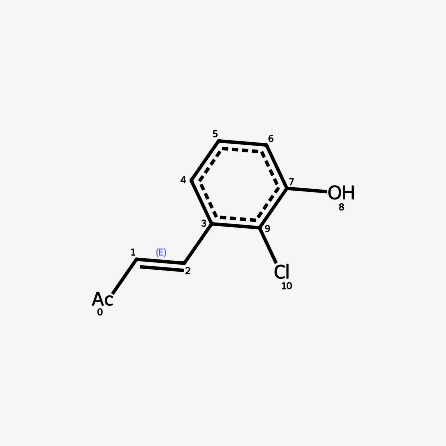 CC(=O)/C=C/c1cccc(O)c1Cl